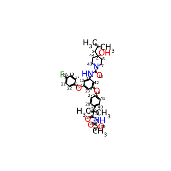 CC(C)CC1(O)CCN(C(=O)Nc2cc(Oc3ccc(F)cc3)cc(Oc3ccc(C(C)(C)C(=O)NS(C)(=O)=O)cc3)c2)CC1